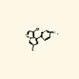 Cc1ccc(-c2cc(Br)cn3ncc(C#N)c23)cn1